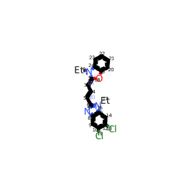 CCN1/C(=C/C=C/c2nc3cc(Cl)c(Cl)cc3n2CC)Oc2ccccc21